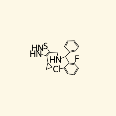 Fc1cccc(Cl)c1C(NCC1=C(C2CC2)NNS1)c1ccccc1